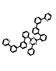 c1ccc(-c2nc(-c3ccccc3-c3cccc(-c4cccc(-c5ccccn5)c4)c3)nc(-c3ccccc3-c3cccc(-c4cccc(-c5ccccn5)c4)c3)n2)cc1